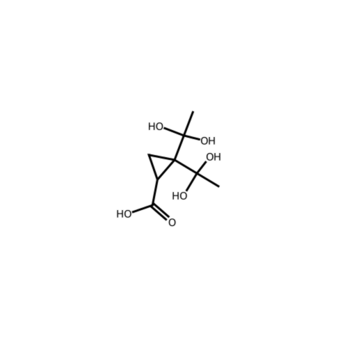 CC(O)(O)C1(C(C)(O)O)CC1C(=O)O